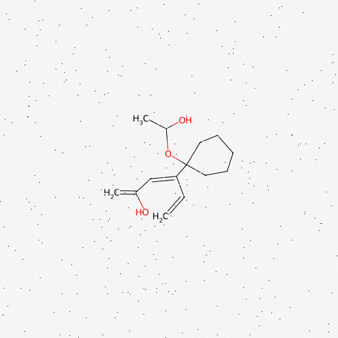 C=C/C(=C\C(=C)O)C1(OC(C)O)CCCCC1